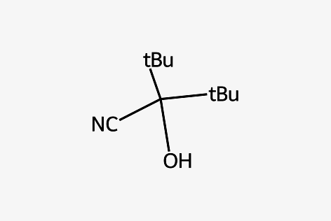 CC(C)(C)C(O)(C#N)C(C)(C)C